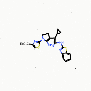 CCOC(=O)c1csc(N2CCc3c2nnc(Nc2nc4ccccc4s2)c3C2CC2)n1